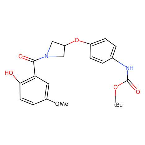 COc1ccc(O)c(C(=O)N2CC(Oc3ccc(NC(=O)OC(C)(C)C)cc3)C2)c1